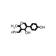 C=C1OC=C(c2ccc(O)cc2)C(O)/C1=C/CCC